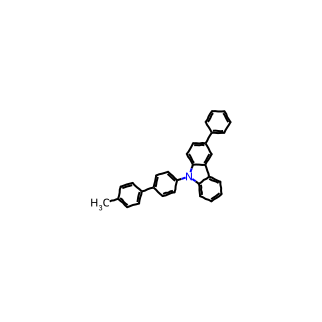 Cc1ccc(-c2ccc(-n3c4ccccc4c4cc(-c5ccccc5)ccc43)cc2)cc1